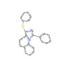 c1ccc(Sc2nc(-c3ccccc3)n3c2ccc2ccccc23)cc1